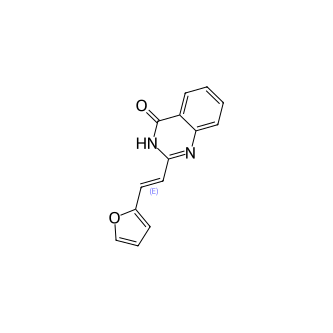 O=c1[nH]c(/C=C/c2ccco2)nc2ccccc12